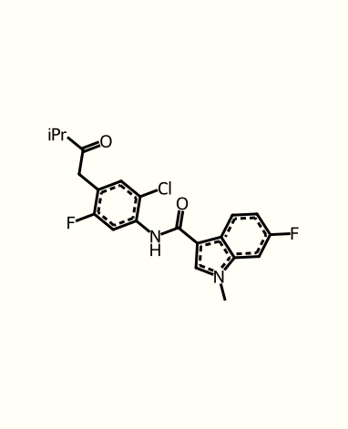 CC(C)C(=O)Cc1cc(Cl)c(NC(=O)c2cn(C)c3cc(F)ccc23)cc1F